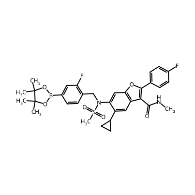 CNC(=O)c1c(-c2ccc(F)cc2)oc2cc(N(Cc3ccc(B4OC(C)(C)C(C)(C)O4)cc3F)S(C)(=O)=O)c(C3CC3)cc12